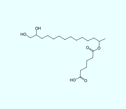 CC(CCCCCCCCCCC(O)CO)OC(=O)CCCCC(=O)O